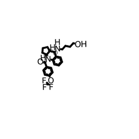 O=C(c1ccc(OC(F)(F)F)cc1)N1c2ccccc2[C@H](NCCCCO)[C@H]2CCC[C@H]21